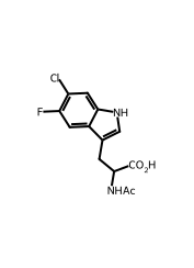 CC(=O)NC(Cc1c[nH]c2cc(Cl)c(F)cc12)C(=O)O